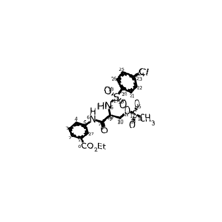 CCOC(=O)c1cccc(NC(=O)[C@H](COS(C)(=O)=O)NS(=O)(=O)c2ccc(Cl)cc2)c1